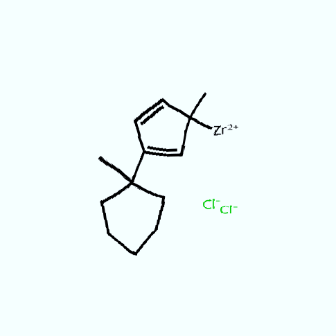 C[C]1([Zr+2])C=CC(C2(C)CCCCC2)=C1.[Cl-].[Cl-]